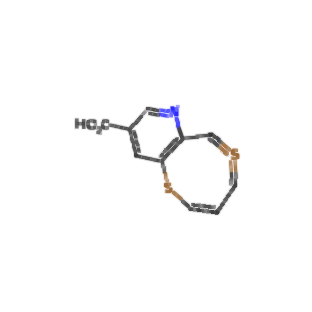 O=C(O)c1cnc2c(c1)S/C=C\C=S=C2